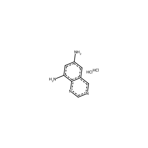 Cl.Cl.Nc1cc(N)c2ncncc2c1